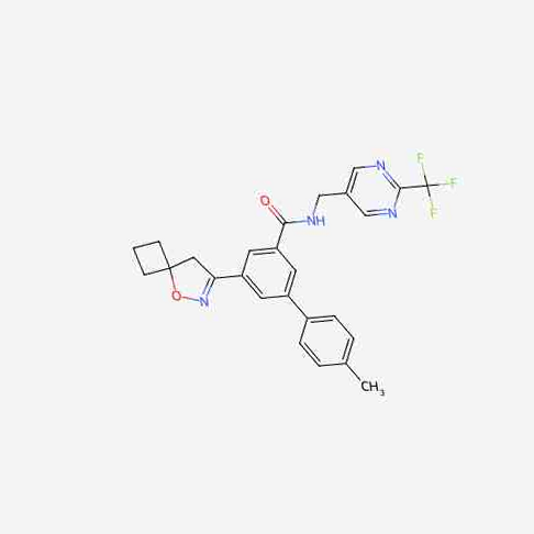 Cc1ccc(-c2cc(C(=O)NCc3cnc(C(F)(F)F)nc3)cc(C3=NOC4(CCC4)C3)c2)cc1